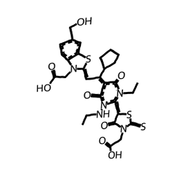 CCNn1c(=O)/c(=C(\C=C2/Sc3cc(CO)ccc3N2CC(=O)O)C2CCCC2)c(=O)n(CC)/c1=C1\SC(=S)N(CC(=O)O)C1=O